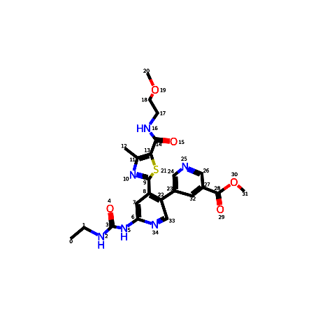 CCNC(=O)Nc1cc(-c2nc(C)c(C(=O)NCCOC)s2)c(-c2cncc(C(=O)OC)c2)cn1